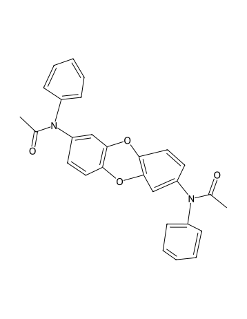 CC(=O)N(c1ccccc1)c1ccc2c(c1)Oc1ccc(N(C(C)=O)c3ccccc3)cc1O2